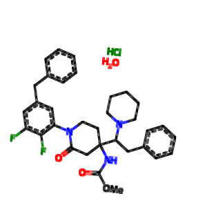 COC(=O)NC1(C(Cc2ccccc2)N2CCCCC2)CCN(c2cc(Cc3ccccc3)cc(F)c2F)C(=O)C1.Cl.O